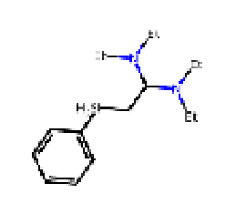 CCN(CC)C(C[SiH2]c1ccccc1)N(CC)CC